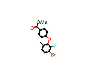 COC(=O)c1ccc(Oc2c(C)ccc(Br)c2F)cc1